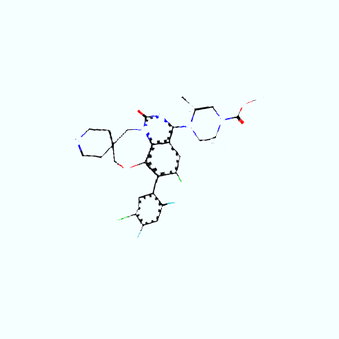 C[C@@H]1CN(c2nc(=O)n3c4c(c(-c5cc(Cl)c(F)cc5F)c(Cl)cc24)OCC2(CCNCC2)C3)[C@@H](C)CN1C(=O)OC(C)(C)C